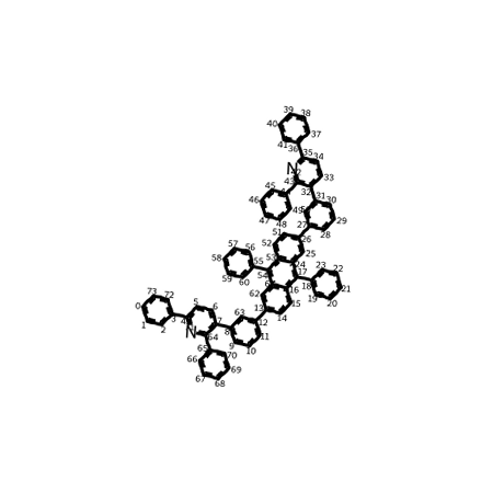 c1ccc(-c2ccc(-c3cccc(-c4ccc5c(-c6ccccc6)c6cc(-c7cccc(-c8ccc(-c9ccccc9)nc8-c8ccccc8)c7)ccc6c(-c6ccccc6)c5c4)c3)c(-c3ccccc3)n2)cc1